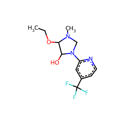 CCOC1C(O)N(c2cc(C(F)(F)F)ccn2)CN1C